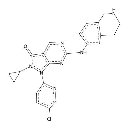 O=c1c2cnc(Nc3ccc4c(c3)CCNC4)nc2n(-c2ccc(Cl)cn2)n1C1CC1